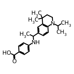 CC(Nc1ccc(C(=O)O)cc1)c1ccc2c(c1)C(C)(C)CCN2C(C)C